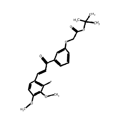 COc1ccc(C=CC(=O)c2cccc(OCC(=O)OC(C)(C)C)c2)c(F)c1OC